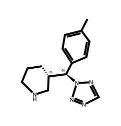 Cc1ccc([C@H]([C@H]2CCCNC2)n2ncnn2)cc1